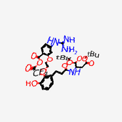 CC(C)(C)OC(=O)CC(NC(=O)CCc1cccc(O)c1OCCOc1cc(NC(=N)N)ccc1C(=O)OC(=O)C(F)(F)F)C(=O)OC(C)(C)C